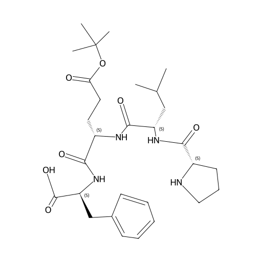 CC(C)C[C@H](NC(=O)[C@@H]1CCCN1)C(=O)N[C@@H](CCC(=O)OC(C)(C)C)C(=O)N[C@@H](Cc1ccccc1)C(=O)O